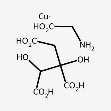 NCC(=O)O.O=C(O)CC(O)(C(=O)O)C(O)C(=O)O.[Cu]